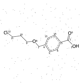 O=C(O)c1ccc(COCCCCl)cc1